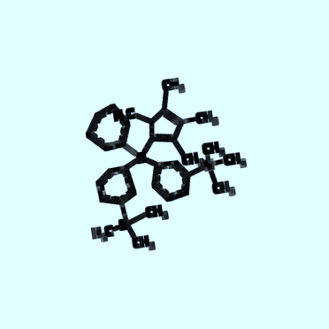 CC1=C(C)C(C)C([Si](c2ccccc2)(c2cccc([Si](C)(C)C)c2)c2cccc([Si](C)(C)C)c2)=C1C